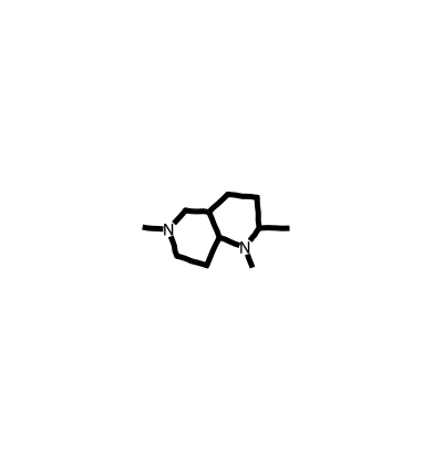 CC1CCC2CN(C)CCC2N1C